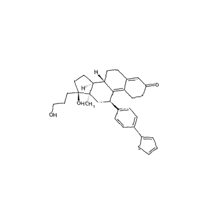 C[C@@]12C[C@H](c3ccc(-c4cccs4)cc3)C3=C4CCC(=O)C=C4CC[C@H]3[C@@H]1CC[C@@]2(O)CCCO